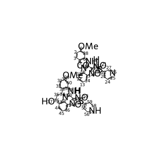 COc1ccc(C(=O)O)c(Nc2nc3ccccc3nc2NS(=O)(=O)c2cccnc2)c1.COc1ccc(CCCO)c(Nc2nc3ccccc3nc2NS(=O)(=O)C2CCNCC2)c1